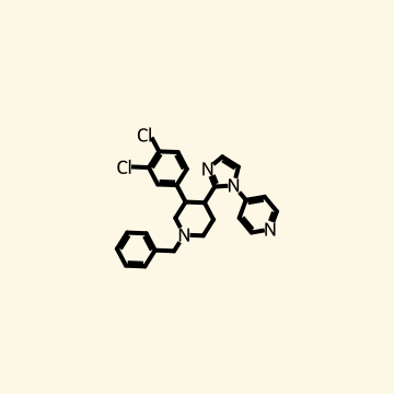 Clc1ccc(C2CN(Cc3ccccc3)CCC2c2nccn2-c2ccncc2)cc1Cl